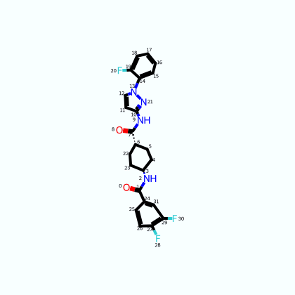 O=C(N[C@H]1CC[C@@H](C(=O)Nc2ccn(-c3ccccc3F)n2)CC1)c1ccc(F)c(F)c1